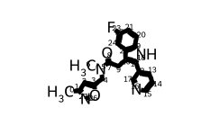 Cc1cc(CN(C)C(=O)Cc2c(-c3cccnc3)[nH]c3ccc(F)cc23)on1